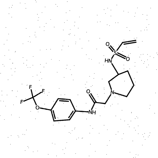 C=CS(=O)(=O)NC1CCCN(CC(=O)Nc2ccc(OC(F)(F)F)cc2)C1